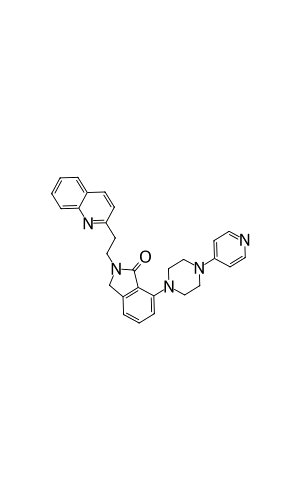 O=C1c2c(cccc2N2CCN(c3ccncc3)CC2)CN1CCc1ccc2ccccc2n1